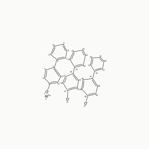 [Al+3].[O-]c1ccc(-c2ccccc2)cc1.[O-]c1ccc(-c2ccccc2)cc1.[O-]c1ccc(-c2ccccc2)cc1